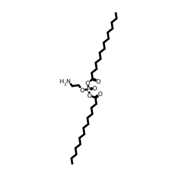 CCCCCCCCCCCCCC(=O)OP(=O)(OCCN)OC(=O)CCCCCCCCCCCCC